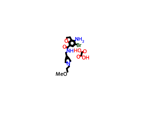 COCCCN1CC2C(CNC(=O)c3cc(Br)c(N)c4c3OCC4)C2C1.O=C(O)C(=O)O